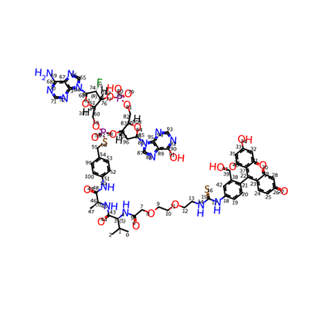 CC(C)[C@H](NC(=O)COCCOCCNC(=S)Nc1ccc(-c2c3ccc(=O)cc-3oc3cc(O)ccc23)c(C(=O)O)c1)C(=O)N[C@@H](C)C(=O)Nc1ccc(CSP2(=O)OC[C@H]3O[C@@H](n4cnc5c(N)ncnc54)[C@H](F)[C@@H]3OP(=O)(O)OC[C@H]3O[C@@H](n4cnc5c(O)ncnc54)C[C@@H]3O2)cc1